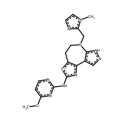 COc1ccnc(Nc2nc3c(s2)CCN(Cc2nccn2C)c2[nH]ncc2-3)n1